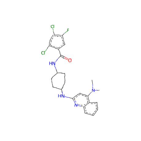 CN(C)c1cc(NC2CCC(NC(=O)c3cc(F)c(Cl)cc3Cl)CC2)nc2ccccc12